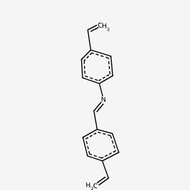 C=Cc1ccc(/C=N/c2ccc(C=C)cc2)cc1